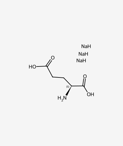 N[C@@H](CCC(=O)O)C(=O)O.[NaH].[NaH].[NaH]